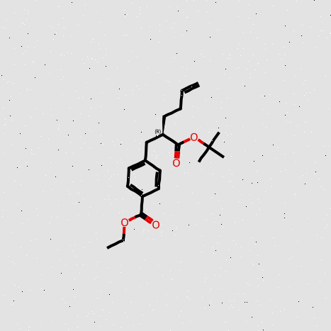 C=CCC[C@H](Cc1ccc(C(=O)OCC)cc1)C(=O)OC(C)(C)C